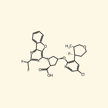 C[C@@H]1COCC[C@@]1(F)c1cc(Cl)cnc1O[C@H]1C[C@@H](C(=O)O)N(c2nc(C(F)F)nc3c2oc2ccccc23)C1